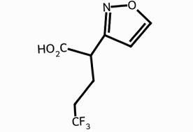 O=C(O)C(CCC(F)(F)F)c1ccon1